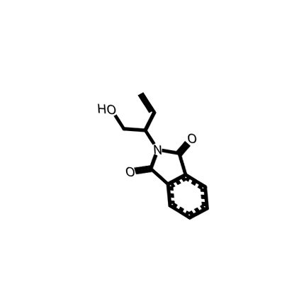 C=CC(CO)N1C(=O)c2ccccc2C1=O